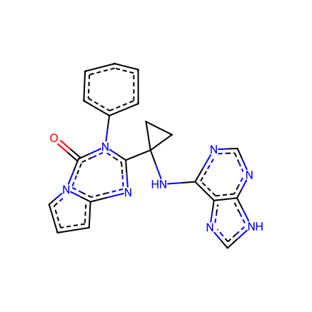 O=c1n(-c2ccccc2)c(C2(Nc3ncnc4[nH]cnc34)CC2)nc2cccn12